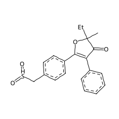 CCC1(C)OC(c2ccc(C[SH](=O)=O)cc2)=C(c2ccccc2)C1=O